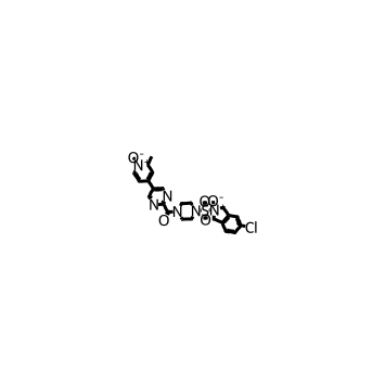 Cc1cc(-c2cnc(C(=O)N3CCN(S(=O)(=O)[N+]4([O-])Cc5ccc(Cl)cc5C4)CC3)nc2)cc[n+]1[O-]